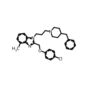 Cc1cccc2c1nc(COc1ccc(Cl)cc1)n2CCCN1CCC(Cc2ccccc2)CC1